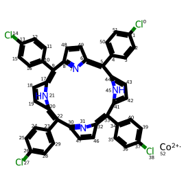 Clc1ccc(-c2c3nc(c(-c4ccc(Cl)cc4)c4ccc([nH]4)c(-c4ccc(Cl)cc4)c4nc(c(-c5ccc(Cl)cc5)c5ccc2[nH]5)C=C4)C=C3)cc1.[Co+2]